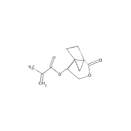 C=C(C)C(=O)OC1COC(=O)C23CCC12C3